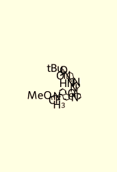 COC(CNc1cccc2c(Oc3ncccc3-c3ccnc(N[C@H]4CCCN(C(=O)OC(C)(C)C)C4)n3)c(C)ccc12)C(F)(F)F